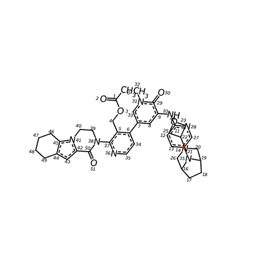 CC(=O)OCc1c(-c2cc(Nc3ccc(N4C5CCC4CN(C4COC4)C5)cn3)c(=O)n(C)c2)ccnc1N1CCn2c(cc3c2CCCC3)C1=O